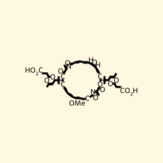 C/C=C/[C@H](OC(=O)CCC(=O)O)C(C)(C)[C@@H]1C\C=C/C=C\C=C\[C@H](OC)Cc2nc(co2)C(=O)O[C@H](C(C)(C)[C@H](/C=C/C)OC(=O)CCC(=O)O)C/C=C\[C@H]2O[C@H]2/C=C/C=C\c2nc(co2)C(=O)C1